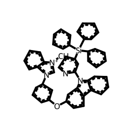 C[n+]1cn(-c2cccc(Oc3ccc4c5ccccc5n(-c5cc([Si](c6ccccc6)(c6ccccc6)c6ccccc6)ccn5)c4c3)c2)c2ccccc21